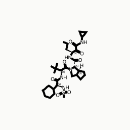 CCC[C@H](NC(=O)[C@@H]1[C@H]2CCCC2CN1C(=O)[C@@H](NC(=O)[C@@H](NS(C)(=O)=O)C1CCCCC1)C(C)(C)C)C(=O)C(=O)NC1CC1